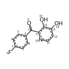 O=C(c1ccc(F)cc1)c1nccc(O)c1O